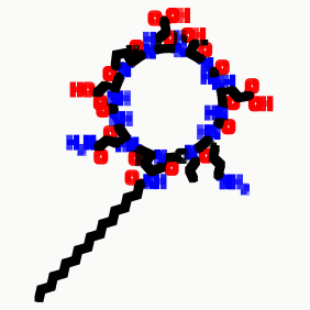 CCCCCCCCCCCCCCCCCC(=O)N[C@H]1C[C@H]2C(=O)N[C@@H](CCC(N)=O)C(=O)NC(=O)N[C@@H](CC(=O)O)C(=O)N3CCC[C@H]3C(=O)N[C@H](CCC(=O)O)C(=O)N[C@@H]([C@@H](C)O)C(=O)NC(=O)N[C@@H](CCC(=O)O)C(=O)NC(=O)N[C@H](CCCCN)C(=O)N(CCC)CC(=O)N2C1